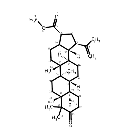 C=C(C)[C@@H]1C[C@@H](C(=O)OP)C2CC[C@]3(C)[C@H](CC[C@@H]4[C@@]5(C)CCC(=O)C(C)(C)[C@@H]5CC[C@]43C)[C@H]21